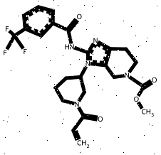 C=CC(=O)N1CCCC(n2c(NC(=O)c3cccc(C(F)(F)F)c3)nc3c2CN(C(=O)OC)CC3)C1